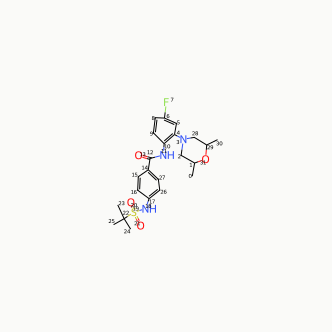 CC1CN(c2cc(F)ccc2NC(=O)c2ccc(NS(=O)(=O)C(C)(C)C)cc2)CC(C)O1